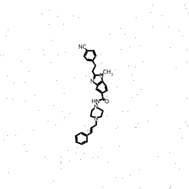 Cn1c(CCc2ccc(C#N)cc2)nc2cc(C(=O)NN3CCN(C/C=C/c4ccccc4)CC3)ccc21